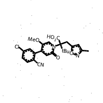 COc1cn(C(Cc2cc(C)no2)(C(=O)O)C(C)(C)C)c(=O)cc1-c1cc(Cl)ccc1C#N